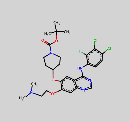 CN(C)CCOc1cc2ncnc(Nc3ccc(Cl)c(Cl)c3F)c2cc1OC1CCN(C(=O)OC(C)(C)C)CC1